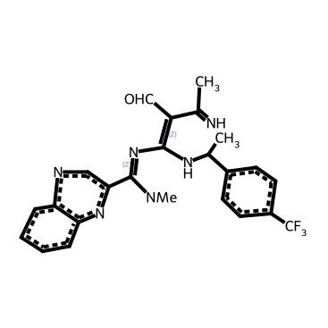 CN/C(=N\C(NC(C)c1ccc(C(F)(F)F)cc1)=C(/C=O)C(C)=N)c1cnc2ccccc2n1